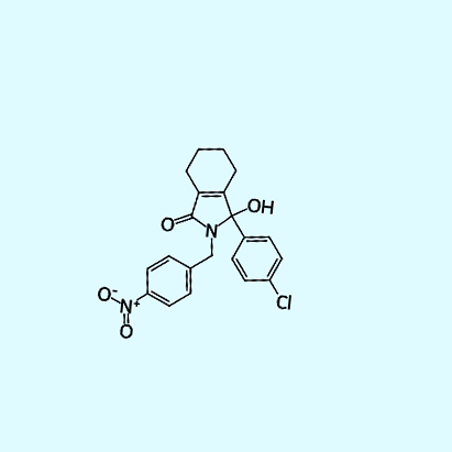 O=C1C2=C(CCCC2)C(O)(c2ccc(Cl)cc2)N1Cc1ccc([N+](=O)[O-])cc1